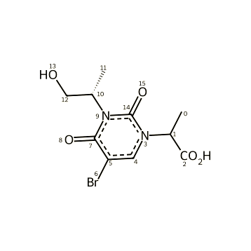 CC(C(=O)O)n1cc(Br)c(=O)n([C@@H](C)CO)c1=O